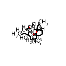 CCCC(O)(CCC)[C@@H](C(C)C)N(C(=O)C1(C(N)=O)CCCCC1)[C@H](C(C)C)C(O)(CCC)CCC